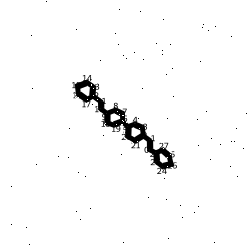 C(=Cc1ccc(-c2ccc(C=Cc3ccccc3)cc2)cc1)c1ccccc1